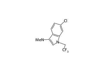 CNc1cn(CC(F)(F)F)c2cc(Cl)ccc12